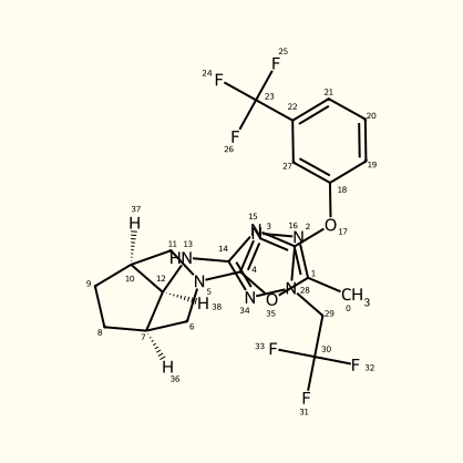 Cc1nnc(N2C[C@H]3CC[C@@H](C2)[C@H]3Nc2nc(Oc3cccc(C(F)(F)F)c3)n(CC(F)(F)F)n2)o1